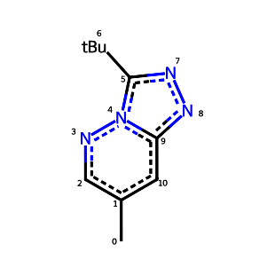 Cc1cnn2c(C(C)(C)C)nnc2c1